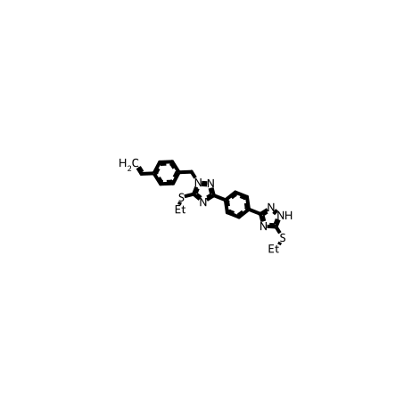 C=Cc1ccc(Cn2nc(-c3ccc(-c4n[nH]c(SCC)n4)cc3)nc2SCC)cc1